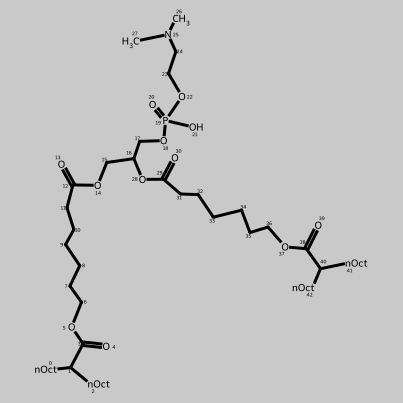 CCCCCCCCC(CCCCCCCC)C(=O)OCCCCCCC(=O)OCC(COP(=O)(O)OCCN(C)C)OC(=O)CCCCCCOC(=O)C(CCCCCCCC)CCCCCCCC